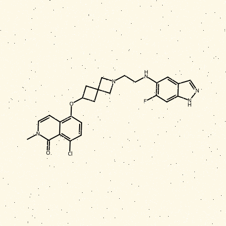 Cn1ccc2c(OC3CC4(C3)CN(CCNc3cc5cn[nH]c5cc3F)C4)ccc(Cl)c2c1=O